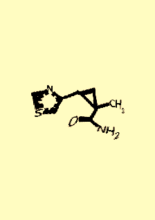 CC1(C(N)=O)CC1c1cscn1